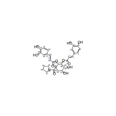 O=C(/C=C/c1ccc(O)c(O)c1)O[C@@H]1C[C@](OC(=O)/C=C/c2ccc(O)c(O)c2)(C(=O)N2CCCC2)CC(O)[C@H]1O